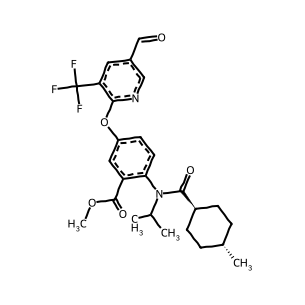 COC(=O)c1cc(Oc2ncc(C=O)cc2C(F)(F)F)ccc1N(C(=O)[C@H]1CC[C@H](C)CC1)C(C)C